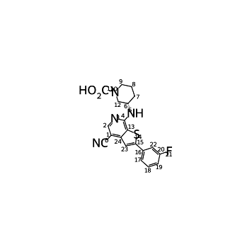 N#Cc1cnc(N[C@H]2CCCN(C(=O)O)C2)c2sc(-c3cccc(F)c3)cc12